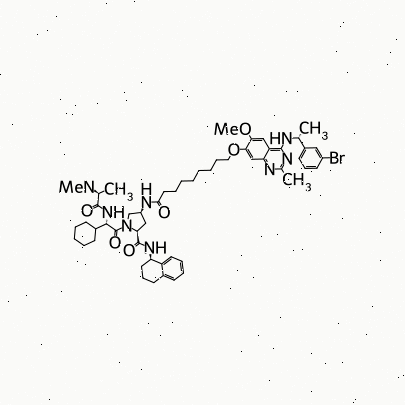 CN[C@@H](C)C(=O)N[C@H](C(=O)N1C[C@@H](NC(=O)CCCCCCCCOc2cc3nc(C)nc(N[C@H](C)c4cccc(Br)c4)c3cc2OC)C[C@H]1C(=O)N[C@@H]1CCCc2ccccc21)C1CCCCC1